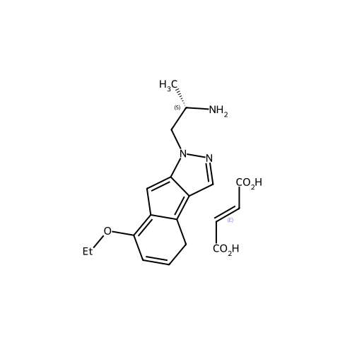 CCOC1=C2C=c3c(cnn3C[C@H](C)N)=C2CC=C1.O=C(O)/C=C/C(=O)O